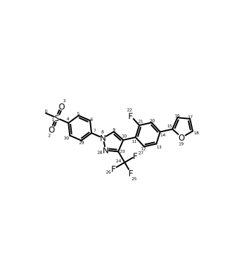 CS(=O)(=O)c1ccc(-n2cc(-c3ccc(-c4ccco4)cc3F)c(C(F)(F)F)n2)cc1